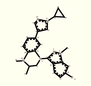 CC1CN(c2nn(C)c3cc(F)ccc23)c2cc(-c3cnn(C4CC4)c3)ccc2N1C